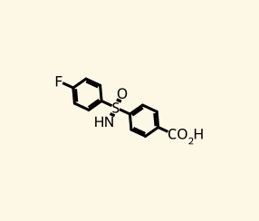 N=S(=O)(c1ccc(F)cc1)c1ccc(C(=O)O)cc1